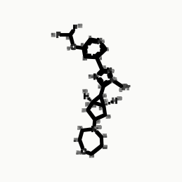 CC(C)n1nc(-c2cncc(OC(F)F)c2)nc1C1[C@H]2CC(N3CCCOCC3)C[C@@H]12